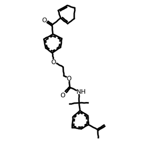 C=C(C)c1cccc(C(C)(C)NC(=O)OCCOc2ccc(C(=O)C3=CCCC=C3)cc2)c1